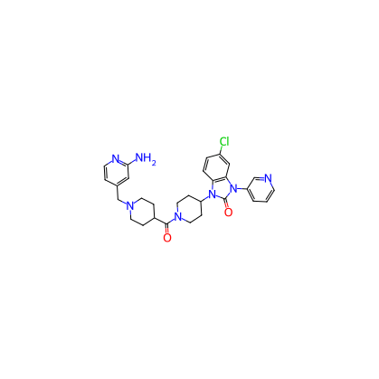 Nc1cc(CN2CCC(C(=O)N3CCC(n4c(=O)n(-c5cccnc5)c5cc(Cl)ccc54)CC3)CC2)ccn1